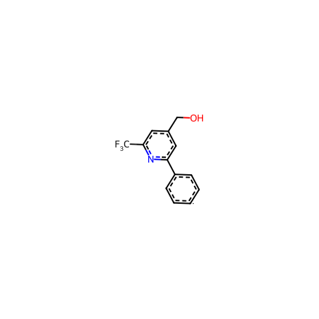 OCc1cc(-c2cc[c]cc2)nc(C(F)(F)F)c1